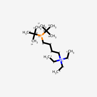 CC[N+](CC)(CC)CCCCP(C(C)(C)C)C(C)(C)C